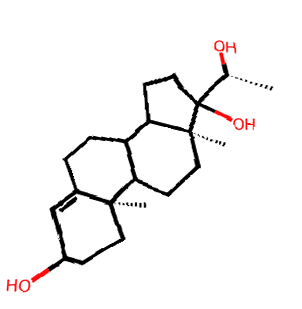 C[C@@H](O)C1(O)CCC2C3CCC4=CC(O)CC[C@]4(C)C3CC[C@@]21C